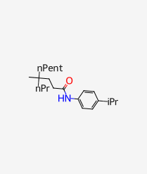 CCCCCC(C)(CCC)CCC(=O)Nc1ccc(C(C)C)cc1